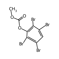 COC(=O)Oc1c(Br)c(Br)cc(Br)c1Br